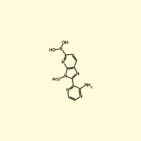 CC(=O)On1c(-c2nccnc2N)nc2ccc(B(O)O)nc21